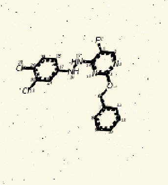 Fc1cnc(OCc2ccccc2)nc1NNc1ccc(Cl)c(Cl)c1